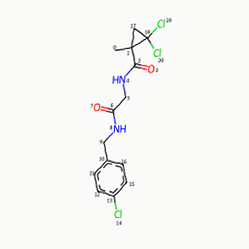 CC1(C(=O)NCC(=O)NCc2ccc(Cl)cc2)CC1(Cl)Cl